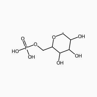 O=P(O)(O)OCC1O[C]C(O)C(O)C1O